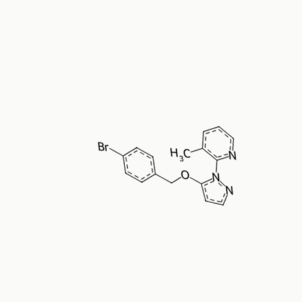 Cc1cccnc1-n1nccc1OCc1ccc(Br)cc1